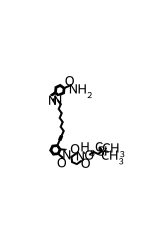 C[Si](C)(C)CCOCN1C(=O)CCC(N2Cc3c(C#CCCCCCCCn4ncc5ccc(C(N)=O)cc54)cccc3C2=O)C1=O